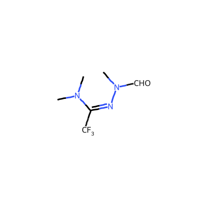 CN(C=O)/N=C(\N(C)C)C(F)(F)F